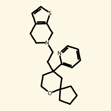 c1ccc(C2(CCN3CCc4ccsc4C3)CCOC3(CCCC3)C2)nc1